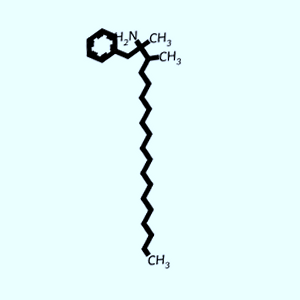 CCCCCCCCCCCCCCCCC(C)C(C)(N)Cc1ccccc1